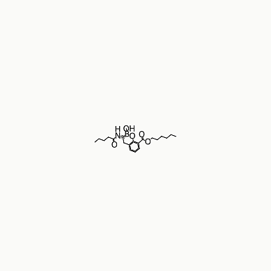 CCCCCCOC(=O)c1cccc2c1OB(O)[C@@H](NC(=O)CCCC)C2